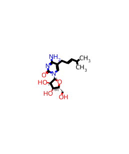 CC(C)C=CCc1cn([C@@H]2O[C@H](CO)[C@@H](O)[C@H]2O)c(=O)nc1N